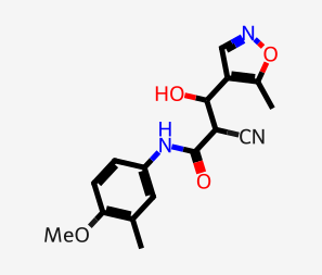 COc1ccc(NC(=O)C(C#N)C(O)c2cnoc2C)cc1C